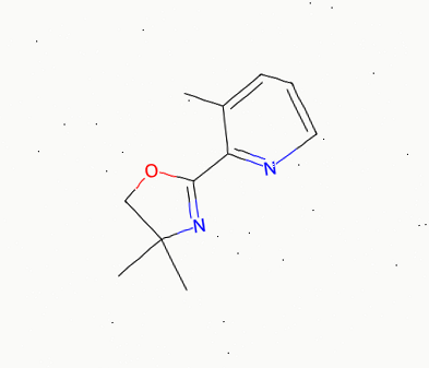 Cc1cccnc1C1=NC(C)(C)CO1